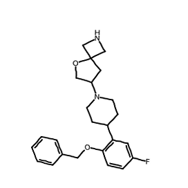 Fc1ccc(OCc2ccccc2)c(C2CCN(C3COC4(CNC4)C3)CC2)c1